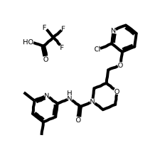 Cc1cc(C)nc(NC(=O)N2CCOC(COc3cccnc3Cl)C2)c1.O=C(O)C(F)(F)F